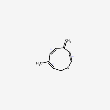 C=C1/C=C\C(C)=C/CS/C=N\1